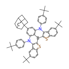 CC(C)(C)c1ccc(N2c3cc(C45CC6CC7CC(C4)[C@@]75C6)cc4c3B(c3sc5ccc(C(C)(C)C)cc5c32)c2sc3ccc(C(C)(C)C)cc3c2N4c2ccc(C(C)(C)C)cc2)cc1